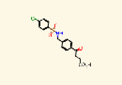 O=C(O)CCC(=O)c1ccc(CNS(=O)(=O)c2ccc(Cl)cc2)cc1